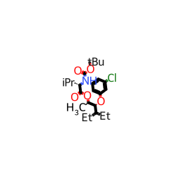 CCC(CC)[C@@H](Oc1cccc(Cl)c1)[C@H](C)OC(=O)[C@@H](NC(=O)OC(C)(C)C)C(C)C